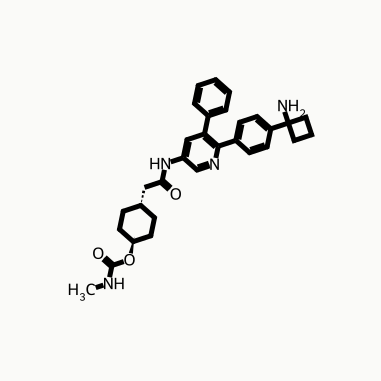 CNC(=O)O[C@H]1CC[C@H](CC(=O)Nc2cnc(-c3ccc(C4(N)CCC4)cc3)c(-c3ccccc3)c2)CC1